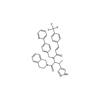 CC(c1cn[nH]c1)C(C(=O)N1CCc2ccccc2C1)N(Cc1ccc(-c2ccccn2)cc1)C(=O)C=Cc1ccc(C(F)(F)F)cc1